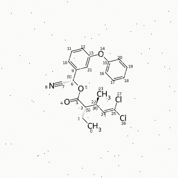 CC[C@H](C(=O)O[C@H](C#N)c1cccc(Oc2ccccc2)c1)[C@@H](C)C=C(Cl)Cl